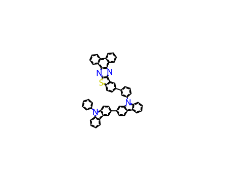 c1ccc(-n2c3ccccc3c3cc(-c4ccc5c6ccccc6n(-c6cccc(-c7ccc8sc9nc%10c%11ccccc%11c%11ccccc%11c%10nc9c8c7)c6)c5c4)ccc32)cc1